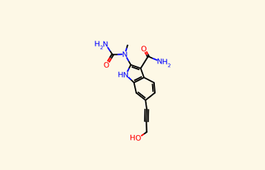 CN(C(N)=O)c1[nH]c2cc(C#CCO)ccc2c1C(N)=O